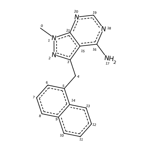 Cn1nc(Cc2cccc3ccccc23)c2c(N)ncnc21